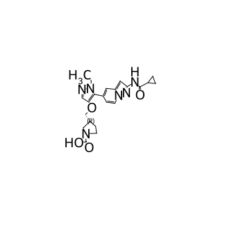 CCn1ncc(OC[C@@H]2CCN(C(=O)O)C2)c1-c1ccn2nc(NC(=O)C3CC3)cc2c1